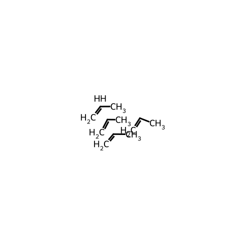 C=CC.C=CC.C=CC.C=CC.[HH]